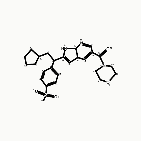 CS(=O)(=O)c1ccc(C(CC2CCCC2)C2=CC3C=C(C(=O)N4CCOCC4)C=NC3N2)cc1